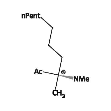 CCCCCCCC[C@](C)(NC)C(C)=O